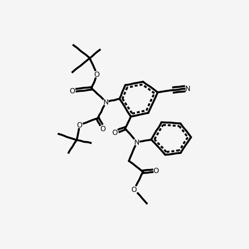 COC(=O)CN(C(=O)c1cc(C#N)ccc1N(C(=O)OC(C)(C)C)C(=O)OC(C)(C)C)c1ccccc1